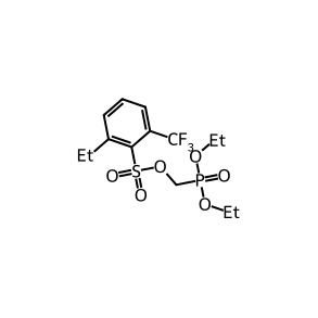 CCOP(=O)(COS(=O)(=O)c1c(CC)cccc1C(F)(F)F)OCC